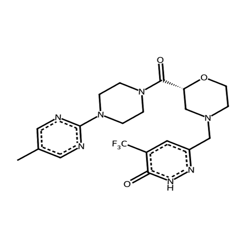 Cc1cnc(N2CCN(C(=O)[C@H]3CN(Cc4cc(C(F)(F)F)c(=O)[nH]n4)CCO3)CC2)nc1